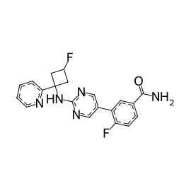 NC(=O)c1ccc(F)c(-c2cnc(NC3(c4ccccn4)CC(F)C3)nc2)c1